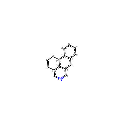 C1=Cc2cncc3cc4ccccc4c(c23)C1